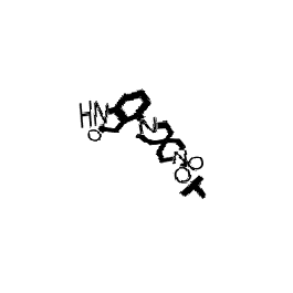 CC(C)(C)OC(=O)N1CCC2(CC1)CCN(c1cccc3c1CC(=O)N3)CC2